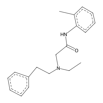 CCN(CCc1ccccc1)CC(=O)Nc1ccccc1C